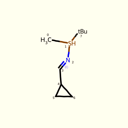 C[SH](/N=C/C1CC1)C(C)(C)C